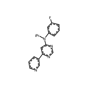 CC(C)N(c1cccc(F)c1)c1cc(-c2cccnc2)ncn1